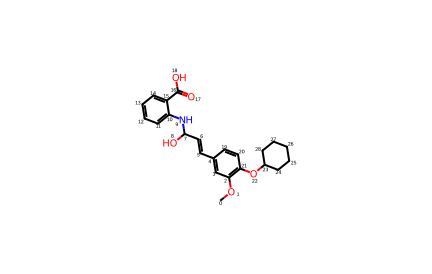 COc1cc(/C=C/C(O)Nc2ccccc2C(=O)O)ccc1OC1CCCCC1